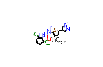 Cn1cc(-c2cc(C(=O)O)c(NC(=O)Nc3c(Cl)cccc3Cl)s2)cn1